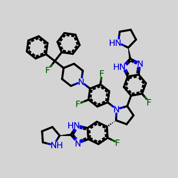 Fc1cc2nc([C@@H]3CCCN3)[nH]c2cc1C1CC[C@H](c2cc3[nH]c([C@@H]4CCCN4)nc3cc2F)N1c1cc(F)c(N2CCC(C(F)(c3ccccc3)c3ccccc3)CC2)c(F)c1